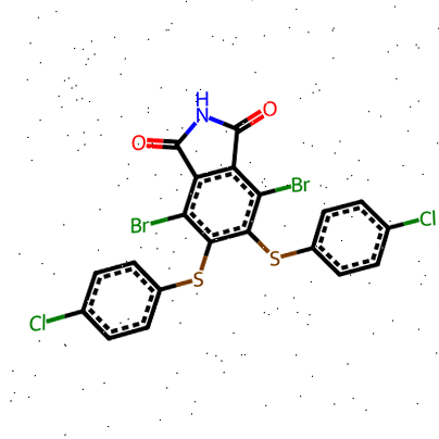 O=C1NC(=O)c2c(Br)c(Sc3ccc(Cl)cc3)c(Sc3ccc(Cl)cc3)c(Br)c21